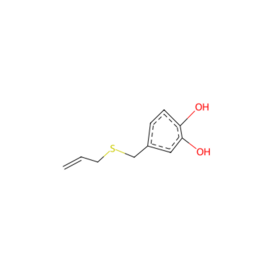 C=CCSCc1ccc(O)c(O)c1